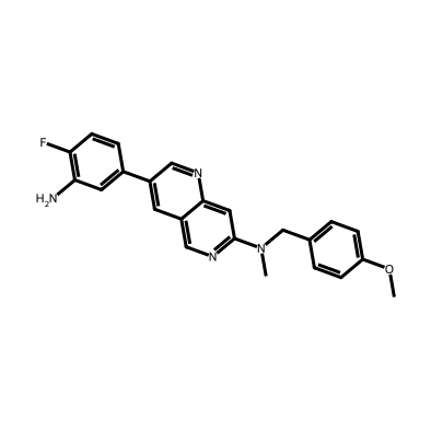 COc1ccc(CN(C)c2cc3ncc(-c4ccc(F)c(N)c4)cc3cn2)cc1